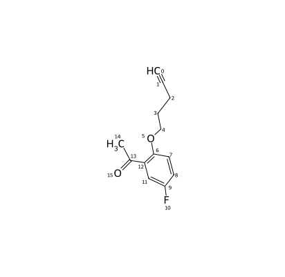 C#CCCCOc1ccc(F)cc1C(C)=O